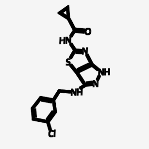 O=C(Nc1nc2[nH]nc(NCc3cccc(Cl)c3)c2s1)C1CC1